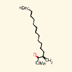 C=C(CCCCCCCCCCCCCCCCCCCCC)C(=O)OC